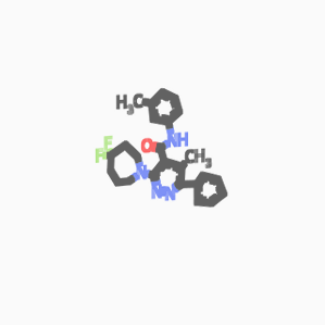 Cc1cccc(NC(=O)c2c(N3CCCC(F)(F)CC3)nnc(-c3ccccc3)c2C)c1